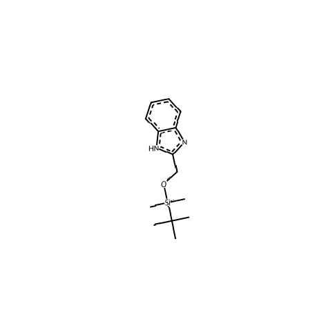 CC(C)(C)[Si](C)(C)OCc1nc2ccccc2[nH]1